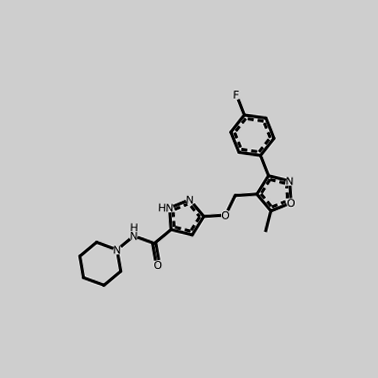 Cc1onc(-c2ccc(F)cc2)c1COc1cc(C(=O)NN2CCCCC2)[nH]n1